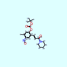 Cc1cc(OC(=O)OC(C)(C)C)c(/C=C/C(=O)N2CCCCC2)cc1N=O